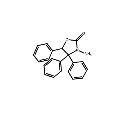 O=C1OC(c2ccccc2)C(c2ccccc2)(c2ccccc2)N1[SiH3]